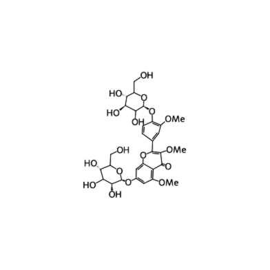 COc1cc(-c2oc3cc(O[C@@H]4OC(CO)[C@@H](O)C(O)[C@@H]4O)cc(OC)c3c(=O)c2OC)ccc1O[C@@H]1OC(CO)[C@@H](O)[C@H](O)C1O